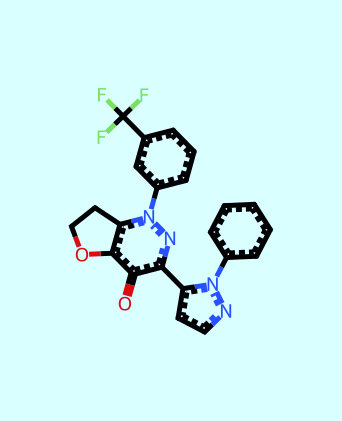 O=c1c(-c2ccnn2-c2ccccc2)nn(-c2cccc(C(F)(F)F)c2)c2c1OCC2